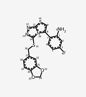 Nc1cc(F)ccc1-c1csc2nnc(SCc3ccc4c(c3)OCO4)n12